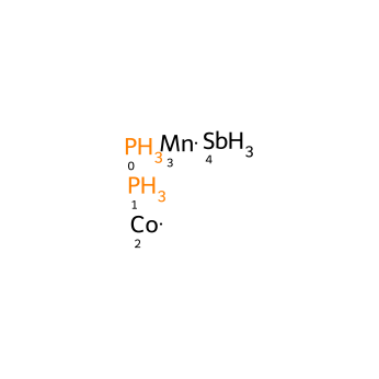 P.P.[Co].[Mn].[SbH3]